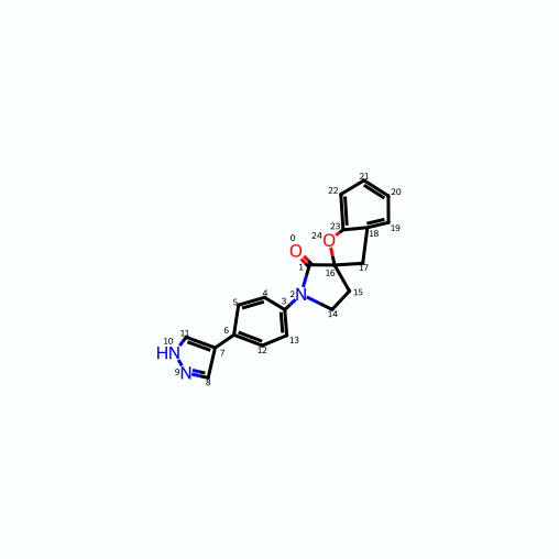 O=C1N(c2ccc(-c3cn[nH]c3)cc2)CCC12Cc1ccccc1O2